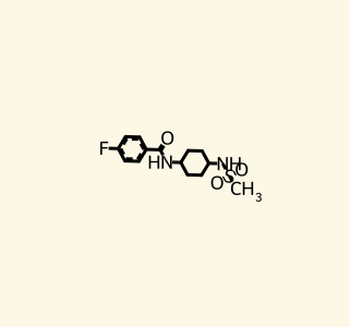 CS(=O)(=O)NC1CCC(NC(=O)c2ccc(F)cc2)CC1